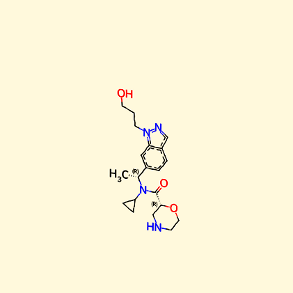 C[C@H](c1ccc2cnn(CCCO)c2c1)N(C(=O)[C@H]1CNCCO1)C1CC1